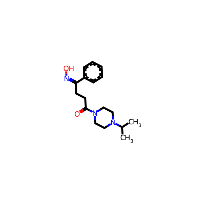 CC(C)N1CCN(C(=O)CC/C(=N/O)c2ccccc2)CC1